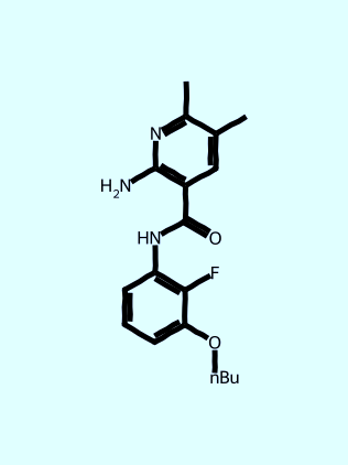 CCCCOc1cccc(NC(=O)c2cc(C)c(C)nc2N)c1F